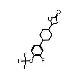 O=C1CC(C2CCC(c3ccc(OC(F)(F)F)c(F)c3)CC2)O1